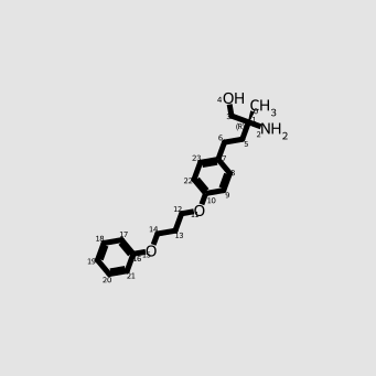 C[C@](N)(CO)CCc1ccc(OCCCOc2ccccc2)cc1